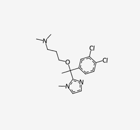 CN(C)CCCOC(C)(c1ccc(Cl)c(Cl)c1)c1nccn1C